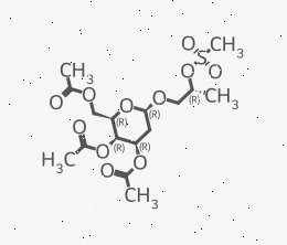 CC(=O)OC[C@H]1O[C@@H](OC[C@@H](C)OS(C)(=O)=O)C[C@@H](OC(C)=O)[C@H]1OC(C)=O